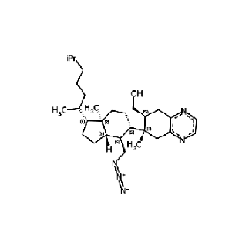 CC(C)CCCC(C)[C@H]1CC[C@H]2[C@H](CN=[N+]=[N-])[C@@H]([C@@]3(C)Cc4nccnc4C[C@@H]3CO)CC[C@]12C